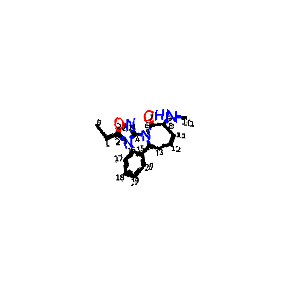 CCc1nc(N2C(=O)C(NC)CCCC2c2ccccc2)no1